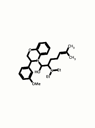 CCN(CC)C(CCC=C(C)C)C(O)N1c2ccccc2OCC1c1cccc(OC)c1